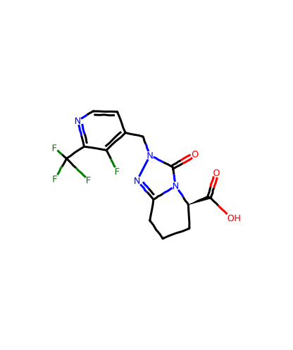 O=C(O)[C@H]1CCCc2nn(Cc3ccnc(C(F)(F)F)c3F)c(=O)n21